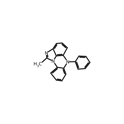 Cc1nc2cccc3c2n1-c1ccccc1N3c1ccccc1